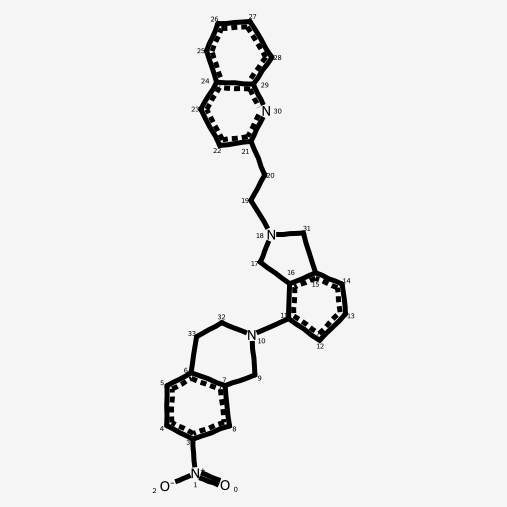 O=[N+]([O-])c1ccc2c(c1)CN(c1cccc3c1CN(CCc1ccc4ccccc4n1)C3)CC2